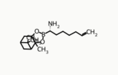 C=CCCCC[C@@H](N)B1OC2CC3CC(C3(C)C)C2(C)O1